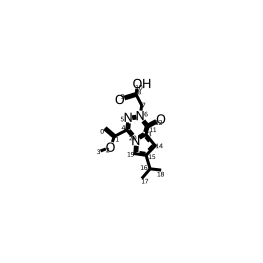 C=C(OC)c1nn(CC(=O)O)c(=O)c2cc(C(C)C)cn12